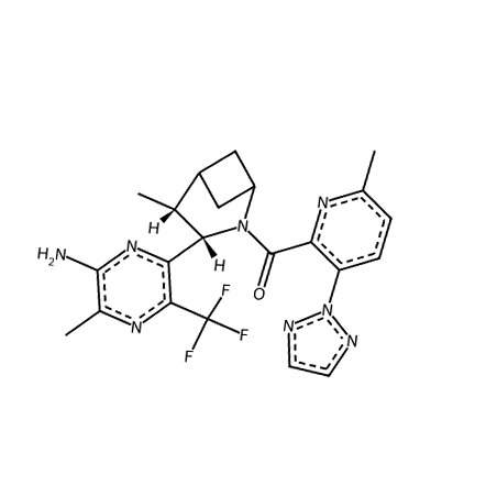 Cc1ccc(-n2nccn2)c(C(=O)N2C3CC(C3)[C@@H](C)[C@H]2c2nc(N)c(C)nc2C(F)(F)F)n1